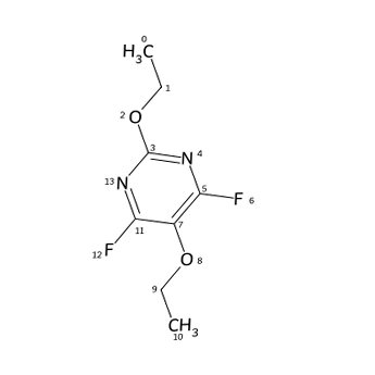 CCOc1nc(F)c(OCC)c(F)n1